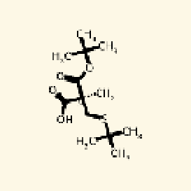 CC(C)(C)OC(=O)[C@@](C)(CSC(C)(C)C)C(=O)O